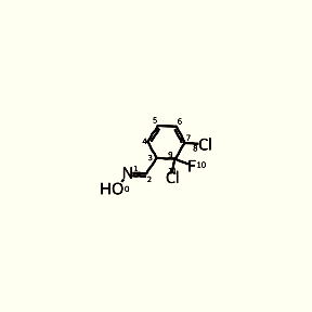 ON=CC1C=CC=C(Cl)C1(F)Cl